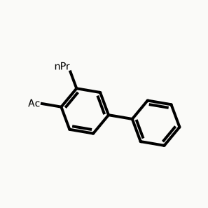 CCCc1cc(-c2ccccc2)ccc1C(C)=O